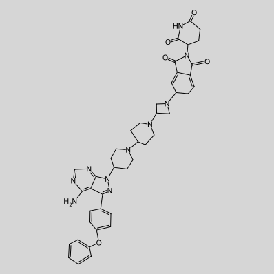 Nc1ncnc2c1c(-c1ccc(Oc3ccccc3)cc1)nn2C1CCN(C2CCN(C3CN(C4C=C5C(=O)N(C6CCC(=O)NC6=O)C(=O)C5=CC4)C3)CC2)CC1